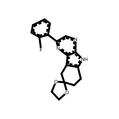 Fc1ccccc1-c1cnc2[nH]c3c(c2n1)CC1(CC3)OCCO1